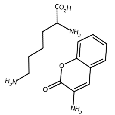 NCCCCC(N)C(=O)O.Nc1cc2ccccc2oc1=O